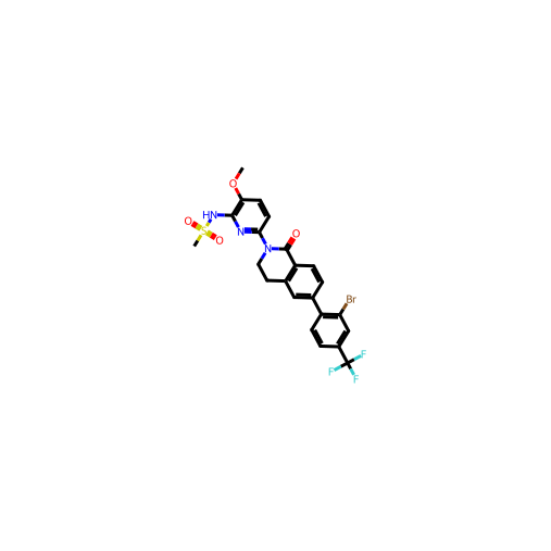 COc1ccc(N2CCc3cc(-c4ccc(C(F)(F)F)cc4Br)ccc3C2=O)nc1NS(C)(=O)=O